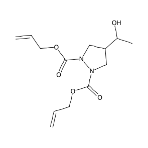 C=CCOC(=O)N1CC(C(C)O)CN1C(=O)OCC=C